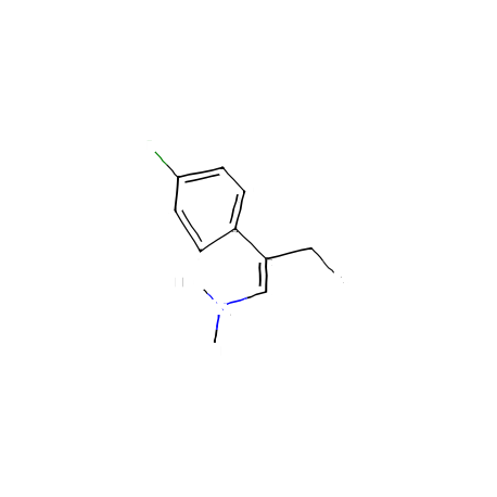 CC(=O)C/C(=C/N(C)C)c1ccc(F)cc1